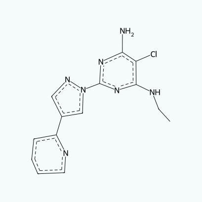 CCNc1nc(-n2cc(-c3ccccn3)cn2)nc(N)c1Cl